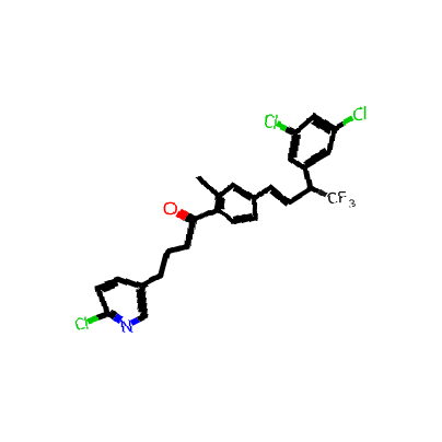 Cc1cc(/C=C/C(c2cc(Cl)cc(Cl)c2)C(F)(F)F)ccc1C(=O)CCCc1ccc(Cl)nc1